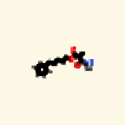 CCNC(=O)C(C)C(=O)OCCCCCc1ccccc1